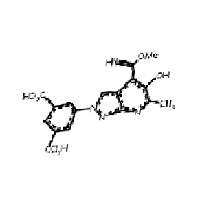 COC(=N)c1c(O)c(C)nc2nn(-c3cc(C(=O)O)cc(C(=O)O)c3)cc12